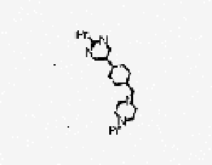 CC(C)c1ncc(C2CCC(CN3CCN(C(C)C)CC3)CC2)cn1